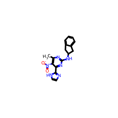 Cc1nc(NC2Cc3ccccc3C2)nc(-c2ncc[nH]2)c1[N+](=O)[O-]